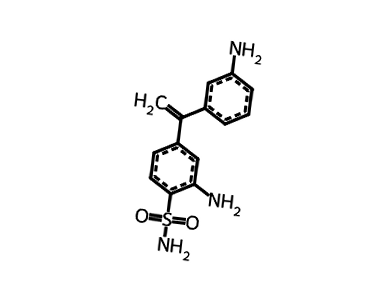 C=C(c1cccc(N)c1)c1ccc(S(N)(=O)=O)c(N)c1